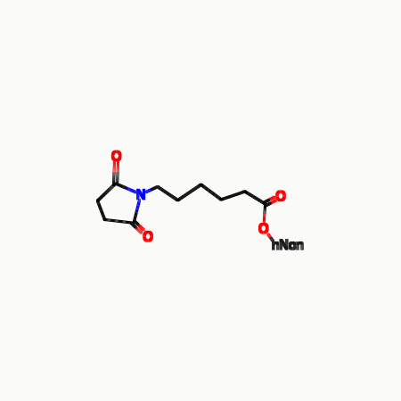 CCCCCCCCCOC(=O)CCCCCN1C(=O)CCC1=O